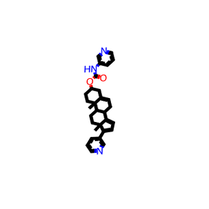 CC12CCC3C(CC=C4CC(OC(=O)Nc5cccnc5)CCC43C)C1=CC=C2c1cccnc1